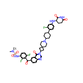 CCN(C)S(=O)(=O)Nc1ccc(F)c(C(=O)c2ccc3ncn(C4CC5(CCN(C6CCC(c7ccc(NC8CCC(=O)NC8=O)cc7F)CC6)CC5)C4)c(=O)c3c2)c1F